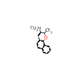 O=C(O)C1=Cc2ccc3ccccc3c2OC1C(F)(F)F